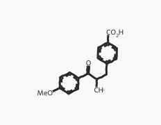 [CH]C(Cc1ccc(C(=O)O)cc1)C(=O)c1ccc(OC)cc1